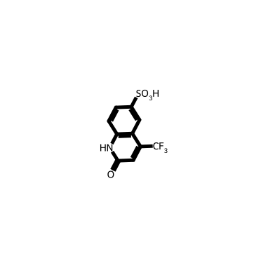 O=c1cc(C(F)(F)F)c2cc(S(=O)(=O)O)ccc2[nH]1